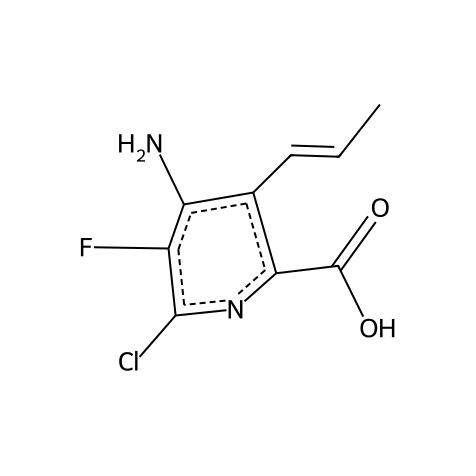 C/C=C/c1c(C(=O)O)nc(Cl)c(F)c1N